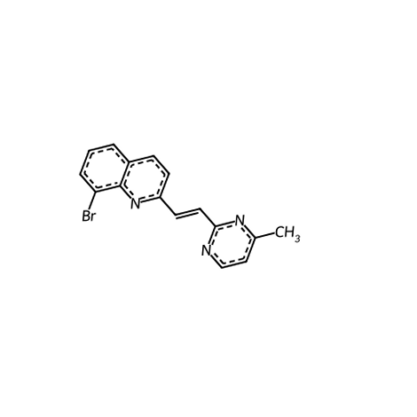 Cc1ccnc(/C=C/c2ccc3cccc(Br)c3n2)n1